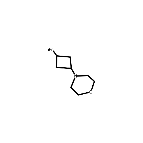 CC(C)C1CC(N2CCOCC2)C1